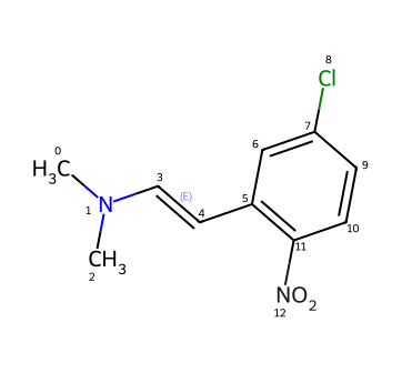 CN(C)/C=C/c1cc(Cl)ccc1[N+](=O)[O-]